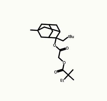 CCC(C)(C)C(=O)OCC(=O)OC1(CC(C)(C)C)C2CC3CC1CC(C)(C3)C2